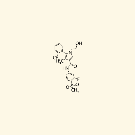 Cc1c(C(=O)Nc2ccc(S(C)(=O)=O)c(F)c2)cn(CCO)c1-c1ccccc1C(F)(F)F